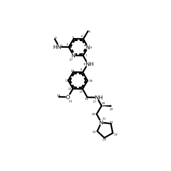 CNc1cc(C)nc(Nc2ccc(OC)c(CN[C@@H](C)CN3CCCC3)c2)n1